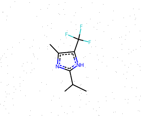 Cc1nc(C(C)C)[nH]c1C(F)(F)F